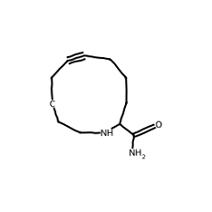 NC(=O)C1CCCC#CCCCCN1